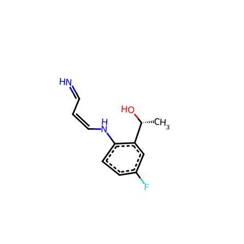 C[C@@H](O)c1cc(F)ccc1N/C=C\C=N